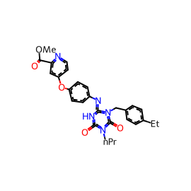 CCCn1c(=O)[nH]/c(=N\c2ccc(Oc3ccnc(C(=O)OC)c3)cc2)n(Cc2ccc(CC)cc2)c1=O